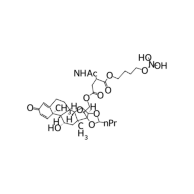 CCCC1O[C@@H]2C[C@H]3[C@@H]4CCC5=CC(=O)C=C[C@]5(C)[C@H]4[C@@H](O)C[C@]3(C)C2(C(=O)COC(=O)CC(NC(C)=O)C(=O)OCCCCON(O)O)O1